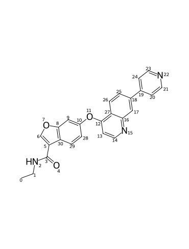 CCNC(=O)c1coc2cc(Oc3ccnc4cc(-c5ccncc5)ccc34)ccc12